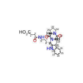 O=C(O)CCC(=O)NCCC[C@H]1c2[nH]c3ccccc3c2C[C@H]2C(=O)N3CCC[C@H]3C(=O)N21